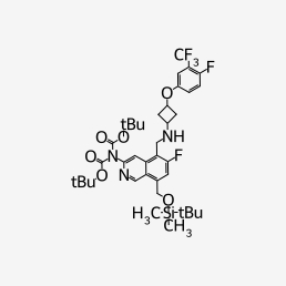 CC(C)(C)OC(=O)N(C(=O)OC(C)(C)C)c1cc2c(CNC3CC(Oc4ccc(F)c(C(F)(F)F)c4)C3)c(F)cc(CO[Si](C)(C)C(C)(C)C)c2cn1